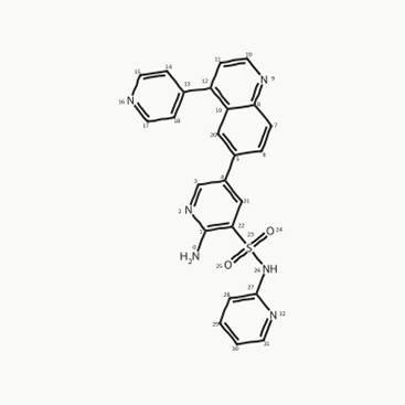 Nc1ncc(-c2ccc3nccc(-c4ccncc4)c3c2)cc1S(=O)(=O)Nc1ccccn1